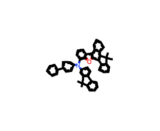 CC1(C)c2ccccc2-c2ccc(N(c3ccc(-c4ccccc4)cc3)c3cccc4c3oc3c5c(c6ccccc6c34)C(C)(C)c3ccccc3-5)cc21